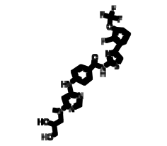 CN(CC(O)CO)c1cc(Nc2ccc(C(=O)Nc3nc(-c4cccc(OC(F)(F)F)c4F)cs3)cc2)ncn1